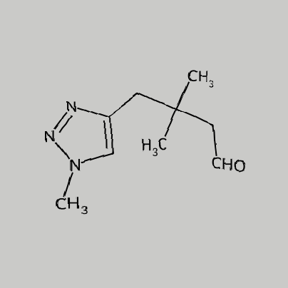 Cn1cc(CC(C)(C)CC=O)nn1